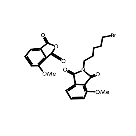 COc1cccc2c1C(=O)N(CCCCCBr)C2=O.COc1cccc2c1C(=O)OC2=O